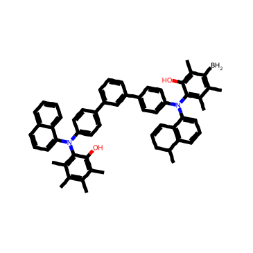 Bc1c(C)c(C)c(N(c2ccc(-c3cccc(-c4ccc(N(c5c(C)c(C)c(C)c(C)c5O)c5cccc6ccccc56)cc4)c3)cc2)c2cccc3c2C=CCC3C)c(O)c1C